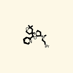 CC(C)CCN(C)[C@@H]1CCN(C2(C(=O)c3ccccn3)CCOC(C)(C)C2)C1